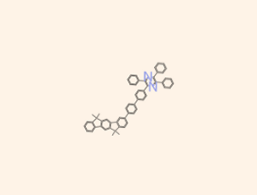 CC1(C)c2ccccc2-c2cc3c(cc21)-c1cc(-c2ccc(-c4ccc(-c5nc(-c6ccccc6)c(-c6ccccc6)nc5-c5ccccc5)cc4)cc2)ccc1C3(C)C